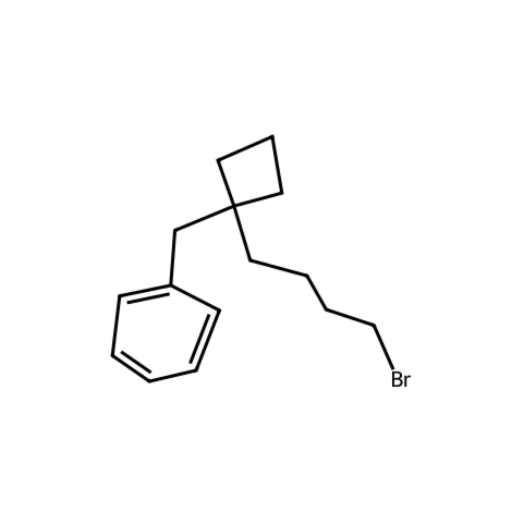 BrCCCCC1(Cc2ccccc2)CCC1